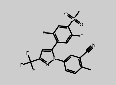 Cc1ccc(-n2nc(C(F)(F)F)cc2-c2cc(F)c(S(C)(=O)=O)cc2F)cc1C#N